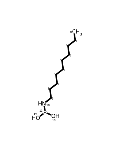 CCCCCCCCCCNP(O)O